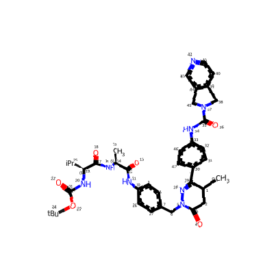 CC1CC(=O)N(Cc2ccc(NC(=O)[C@H](C)NC(=O)[C@@H](NC(=O)OC(C)(C)C)C(C)C)cc2)N=C1c1ccc(NC(=O)N2Cc3ccncc3C2)cc1